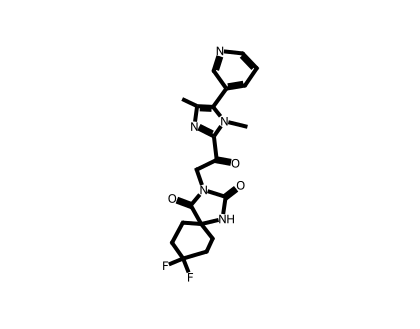 Cc1nc(C(=O)CN2C(=O)NC3(CCC(F)(F)CC3)C2=O)n(C)c1-c1cccnc1